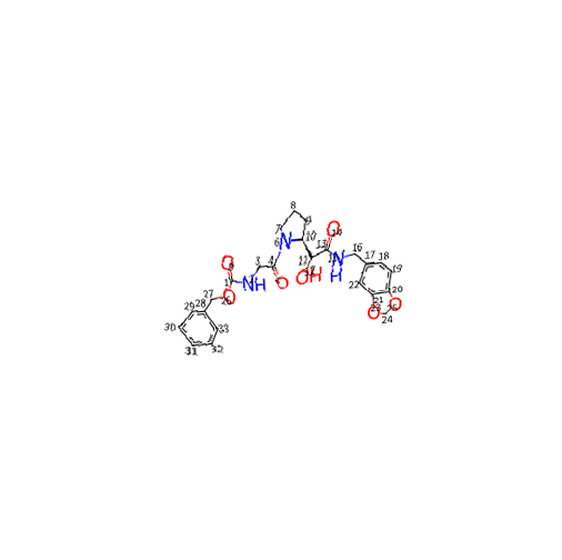 O=C(NCC(=O)N1CCC[C@H]1C(O)C(=O)NCc1ccc2c(c1)OCO2)OCc1ccccc1